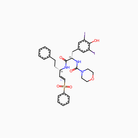 O=C(N[C@H](/C=C/S(=O)(=O)c1ccccc1)CCc1ccccc1)[C@H](Cc1cc(I)c(O)c(I)c1)NC(=O)N1CCOCC1